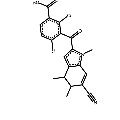 CC1C(C#N)=Cc2c(cc(C(=O)c3c(Cl)ccc(C(=O)O)c3Cl)n2C)C1C